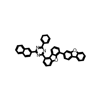 C1=CC(c2nc(-c3ccc4ccccc4c3)nc(-c3cccc4oc5c(-c6ccc7c(c6)oc6ccccc67)cccc5c34)n2)=CCC1